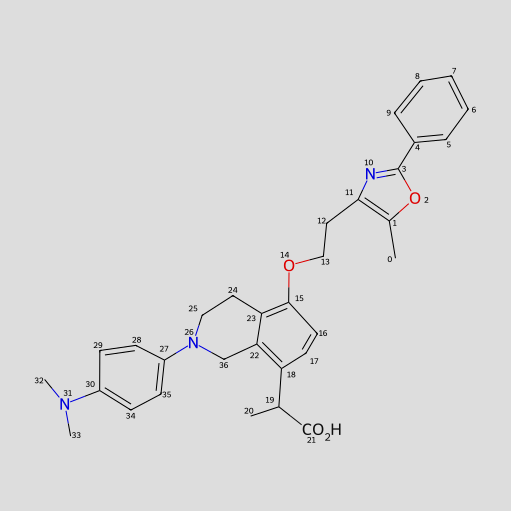 Cc1oc(-c2ccccc2)nc1CCOc1ccc(C(C)C(=O)O)c2c1CCN(c1ccc(N(C)C)cc1)C2